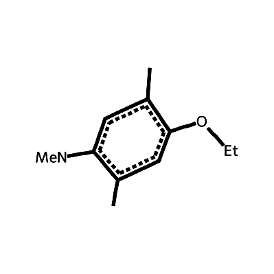 CCOc1cc(C)c(NC)cc1C